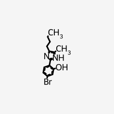 CCCCc1nc(-c2ccc(Br)cc2O)[nH]c1C